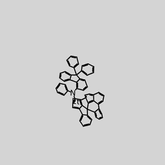 CCc1ccc2cccc3c2c1C1(c2ccccc2-c2ccc(N(c4ccccc4)c4cccc5c4-c4ccccc4C5(c4ccccc4)c4ccccc4)cc21)c1ccccc1-3